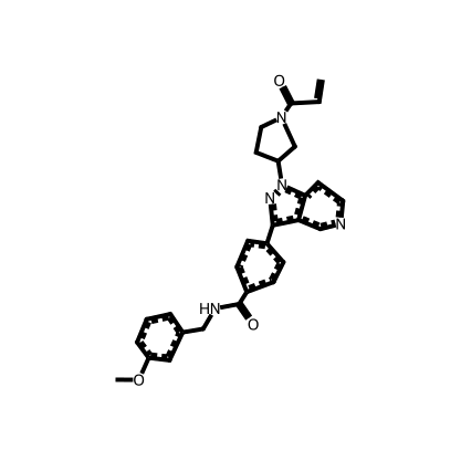 C=CC(=O)N1CCC(n2nc(-c3ccc(C(=O)NCc4cccc(OC)c4)cc3)c3cnccc32)C1